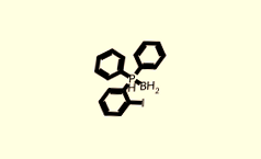 B[PH](c1ccccc1)(c1ccccc1)c1ccccc1I